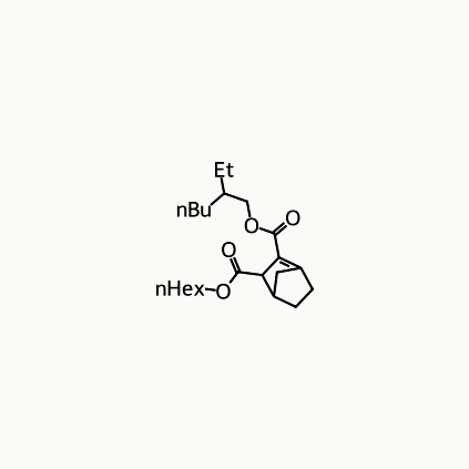 CCCCCCOC(=O)C1C(C(=O)OCC(CC)CCCC)=C2CCC1C2